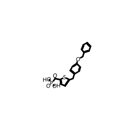 O=C(c1ccc(Cc2ccc(OCc3ccccc3)cc2)s1)P(=O)(O)O